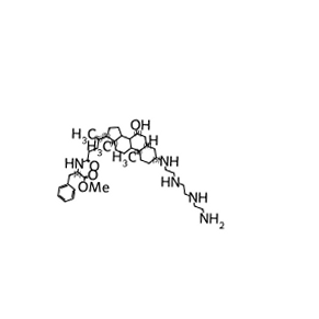 COC(=O)[C@@H](Cc1ccccc1)NC(=O)CC[C@@H](C)[C@H]1CCC2C3C(CC[C@@]21C)[C@@]1(C)CC[C@H](NCCNCCNCCN)C[C@H]1C[C@H]3O